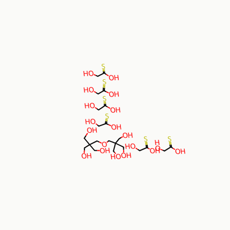 OCC(CO)(CO)COCC(CO)(CO)CO.OCC(O)=S.OCC(O)=S.OCC(O)=S.OCC(O)=S.OCC(O)=S.OCC(O)=S